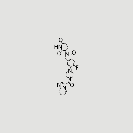 O=C1CCC(N2Cc3cc(N4CCN(C(=O)c5cnc6ccccn56)CC4)c(F)cc3C2=O)C(=O)N1